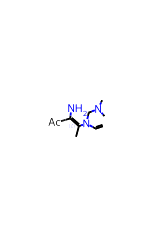 C=CN(CN(C)C)/C(C)=C(\N)C(C)=O